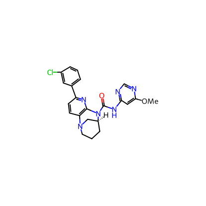 COc1cc(NC(=O)N2c3nc(-c4cccc(Cl)c4)ccc3N3CCC[C@H]2C3)ncn1